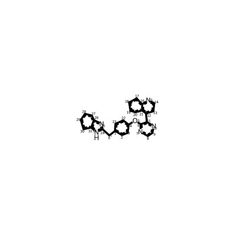 [C](c1ccc(Oc2nccnc2-c2ccnc3ccccc23)cc1)c1nc2ccccc2[nH]1